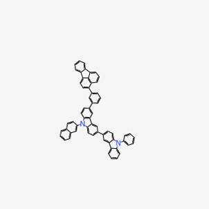 c1ccc(-n2c3ccccc3c3cc(-c4ccc5c(c4)c4cc(-c6cccc(-c7ccc8c9c(cccc79)-c7ccccc7-8)c6)ccc4n5-c4ccc5ccccc5c4)ccc32)cc1